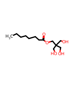 CCCCCCCC(=O)OCC(CO)(CO)CO